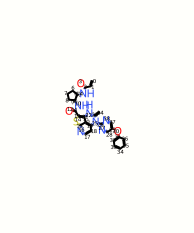 C=CC(=O)N[C@H]1CCC[C@H]1NC(=O)c1sc2nccc3c2c1[nH]c(=C)n3-c1ncc(Oc2ccccc2)cn1